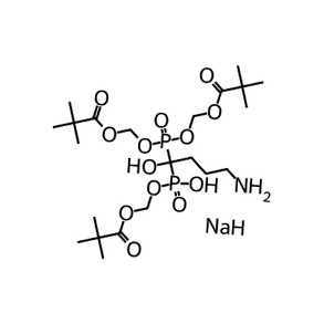 CC(C)(C)C(=O)OCOP(=O)(O)C(O)(CCCN)P(=O)(OCOC(=O)C(C)(C)C)OCOC(=O)C(C)(C)C.[NaH]